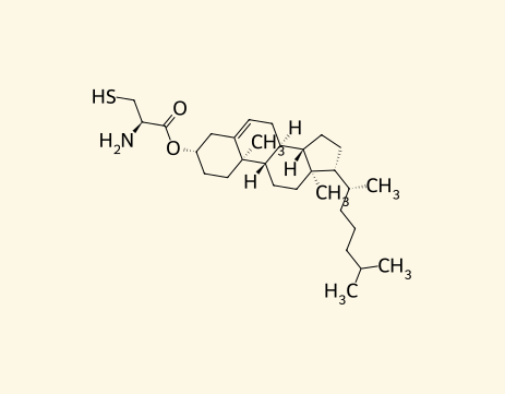 CC(C)CCC[C@@H](C)[C@H]1CC[C@H]2[C@@H]3CC=C4C[C@@H](OC(=O)[C@@H](N)CS)CC[C@]4(C)[C@H]3CC[C@]12C